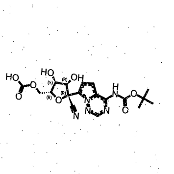 CC(C)(C)OC(=O)Nc1ncnn2c([C@]3(C#N)O[C@H](COC(=O)O)[C@@H](O)[C@H]3O)ccc12